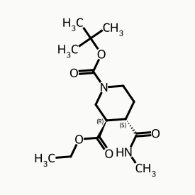 CCOC(=O)[C@H]1CN(C(=O)OC(C)(C)C)CC[C@@H]1C(=O)NC